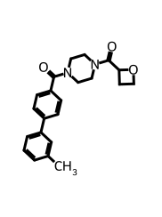 Cc1cccc(-c2ccc(C(=O)N3CCN(C(=O)C4CCO4)CC3)cc2)c1